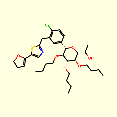 CCCCO[C@@H]1[C@@H](OCCCC)[C@H](c2ccc(Cl)c(Cc3ncc(C4=CCCO4)s3)c2)O[C@H](C(C)O)[C@H]1OCCCC